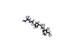 C=C/C(=C\N=C(/C)Oc1ccc(CCNc2ncnc(CCl)c2Cl)cc1)C(F)(F)F